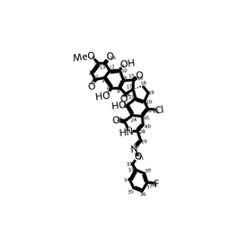 COC1=CC(=O)c2c(O)c3c(c(O)c2C1=O)C(=O)[C@]1(CCc2c1c(O)c1c(=O)[nH]c(C=NOCc4cccc(F)c4)cc1c2Cl)C3=O